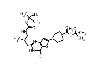 C[C@@H](CNC(=O)OC(C)(C)C)Cc1nc2cc(N3CCN(C(=O)OC(C)(C)C)CC3)sc2c(=O)[nH]1